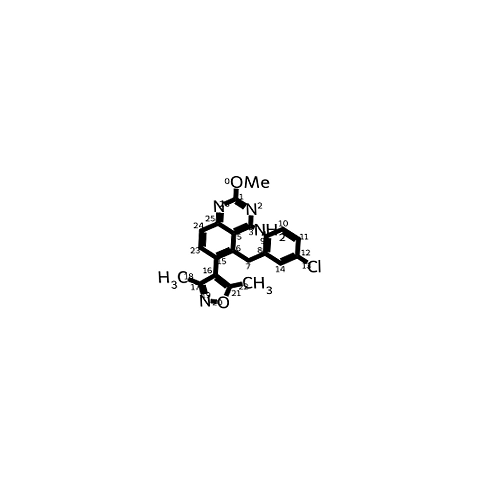 COc1nc(N)c2c(Cc3cccc(Cl)c3)c(-c3c(C)noc3C)ccc2n1